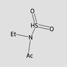 CCN(C(C)=O)[SH](=O)=O